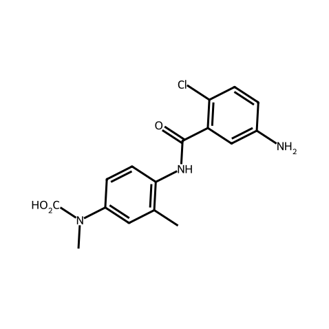 Cc1cc(N(C)C(=O)O)ccc1NC(=O)c1cc(N)ccc1Cl